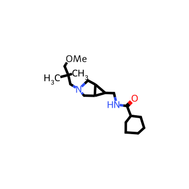 COCC(C)(C)CN1CC2C(CNC(=O)C3CCCCC3)C2C1